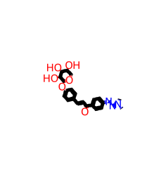 CN(C)/N=N/c1ccc(C(=O)/C=C/c2ccc(O[C@H]3OC[C@H](O)[C@@H](O)[C@@H]3O)cc2)cc1